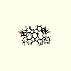 CC1(C)CCC(C)(C)c2c1ncc1c2c2c3c4c5c(ccc4n4c6ccc7c(c6c(c6c8c9c(ncc8n1c62)C1CC2CC(C1)C9C2)c34)C1CC2CC3CC7CC321)C1CC2CC3CC5C23C1